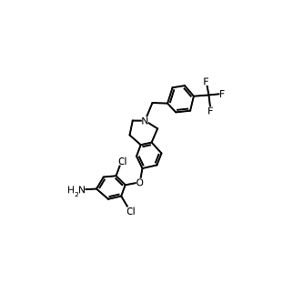 Nc1cc(Cl)c(Oc2ccc3c(c2)CCN(Cc2ccc(C(F)(F)F)cc2)C3)c(Cl)c1